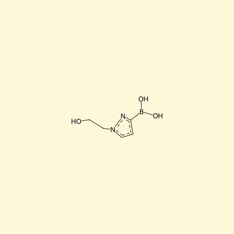 OCCn1ccc(B(O)O)n1